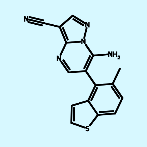 Cc1ccc2sccc2c1-c1cnc2c(C#N)cnn2c1N